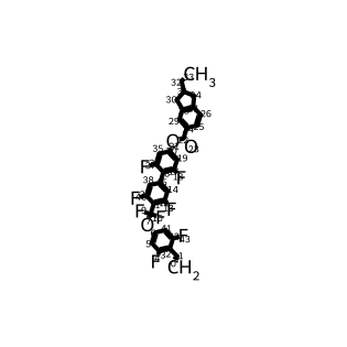 C=Cc1c(F)cc(OC(F)(F)c2c(F)cc(-c3c(F)cc(OC(=O)c4ccc5c(c4)CC(CC)C5)cc3F)cc2F)cc1F